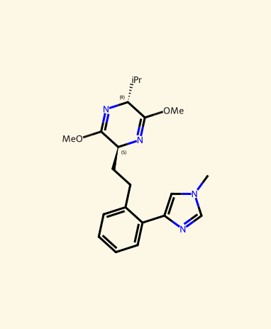 COC1=N[C@H](C(C)C)C(OC)=N[C@H]1CCc1ccccc1-c1cn(C)cn1